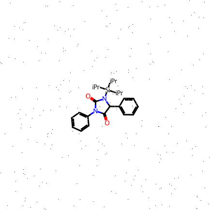 CC(C)[Si](C(C)C)(C(C)C)N1C(=O)N(c2ccccc2)C(=O)C1c1ccccc1